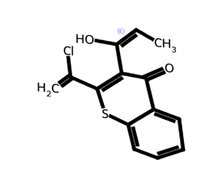 C=C(Cl)c1sc2ccccc2c(=O)c1/C(O)=C\C